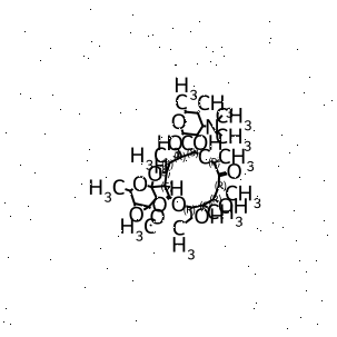 CC[C@H]1OC(=O)[C@H]2[C@@H](OC23CC2(OC)OC2C(C)O3)[C@H](C)[C@@H](OC2CC(N(C)C)C(C)C(C)O2)[C@@](C)(O)C[C@@H](C)C(=O)[C@H](C)[C@@H](O)[C@]1(C)O